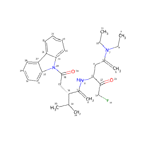 C=C(NC(CC(=C)N(CC)CC)C(=O)CF)[C@@H](CC(=O)n1c2ccccc2c2ccccc21)C(C)C